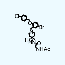 CC(=O)NCC(=O)NCC1(O)CCN(Cc2cc(Br)ccc2OCc2ccc(Cl)cc2)CC1